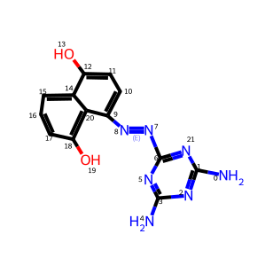 Nc1nc(N)nc(/N=N/c2ccc(O)c3cccc(O)c23)n1